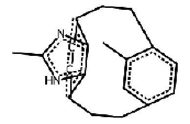 Cc1nc2c3ccc(c2[nH]1)CCc1ccc(c(C)c1)CC3